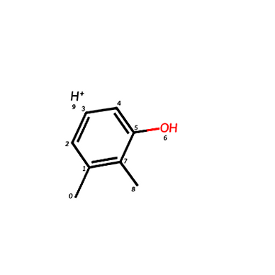 Cc1cccc(O)c1C.[H+]